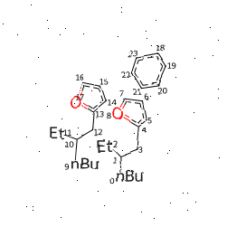 CCCCC(CC)Cc1ccco1.CCCCC(CC)Cc1ccco1.c1ccccc1